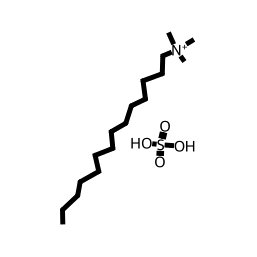 CCCCCCCCCCCCCC[N+](C)(C)C.O=S(=O)(O)O